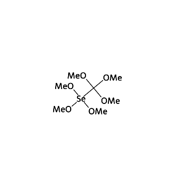 COC(OC)(OC)[Se](OC)(OC)OC